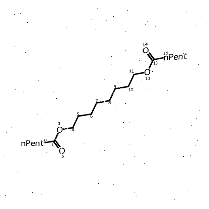 CCCCCC(=O)OCCCCCCCCOC(=O)CCCCC